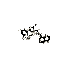 COc1cc(C(F)(F)F)cc([C@H]2OC(=O)N(C(=O)NCc3cncc4cccnc34)[C@H]2CO)n1